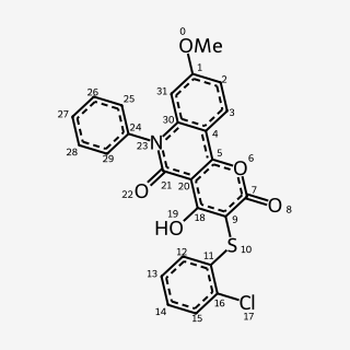 COc1ccc2c3oc(=O)c(Sc4ccccc4Cl)c(O)c3c(=O)n(-c3ccccc3)c2c1